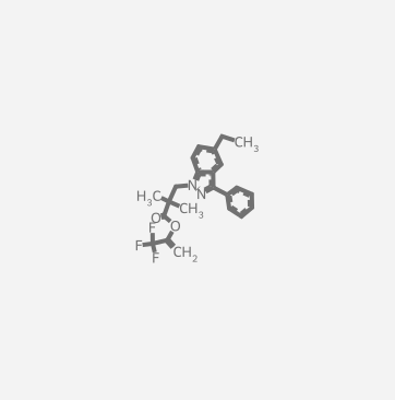 C=C(OC(=O)C(C)(C)Cn1nc(-c2ccccc2)c2cc(CC)ccc21)C(F)(F)F